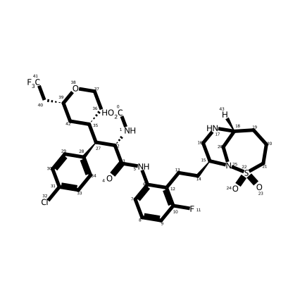 O=C(O)N[C@H](C(=O)Nc1cccc(F)c1CC[C@H]1CN[C@@H]2CCCS(=O)(=O)N1C2)[C@@H](c1ccc(Cl)cc1)[C@H]1CCO[C@@H](CC(F)(F)F)C1